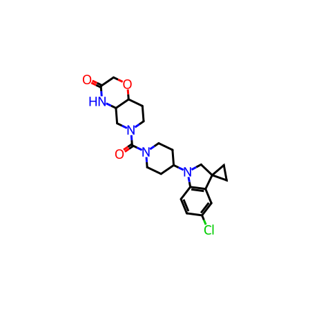 O=C1COC2CCN(C(=O)N3CCC(N4CC5(CC5)c5cc(Cl)ccc54)CC3)CC2N1